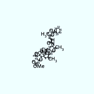 CCOC(C)O[C@@H]1[C@@H](C=CC(C)=CC[C@@H]2O[C@H](C)[C@H](NC(=O)C=CC(C)OC(=O)N3CCCCC3)C[C@@H]2C)O[C@H](CC(=O)OC)C[C@@]12CO2